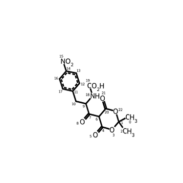 CC1(C)OC(=O)C(C(=O)C(Cc2ccc([N+](=O)[O-])cc2)NC(=O)O)C(=O)O1